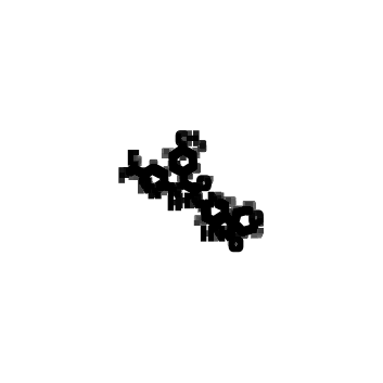 CC1CCC([C@H](Nc2ccc(C(F)F)nn2)C(=O)Nc2cc3c(cn2)C2(CCOCC2)C(=O)N3)CC1